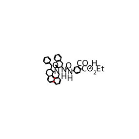 CCOC(=O)c1ccc(NC(=O)NC(Cc2ccccc2)C(=O)N(Cc2ccccc2)C2c3ccccc3CCC2Cc2ccccc2)cc1C(=O)O